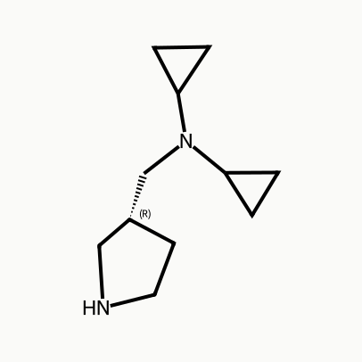 C1C[C@@H](CN(C2CC2)C2CC2)CN1